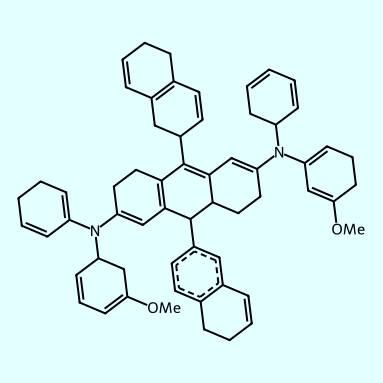 COC1=CC(N(C2=CC3=C(C4C=CC5=C(C=CCC5)C4)C4=C(C=C(N(C5=CCCC=C5)C5C=CC=C(OC)C5)CC4)C(c4ccc5c(c4)C=CCC5)C3CC2)C2C=CC=CC2)=CCC1